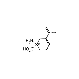 C=C(C)C1=CCC[C@](N)(C(=O)O)C1